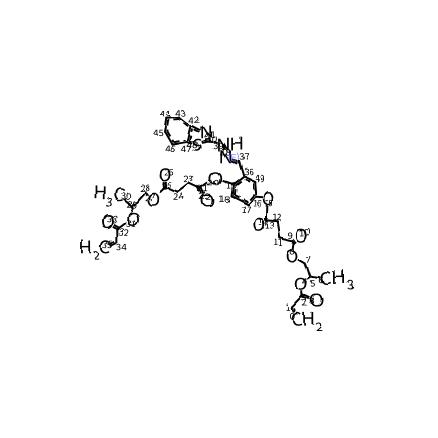 C=CC(=O)OC(C)COC(=O)CCC(=O)Oc1ccc(OC(=O)CCC(=O)OCC(C)OC(=O)C=C)c(/C=N/Nc2nc3ccccc3s2)c1